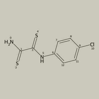 NC(=S)C(=S)Nc1ccc(Cl)cc1